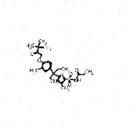 CCC(=O)NS(=O)(=O)c1sc(C(CC)(CC)c2ccc(OCC(=O)C(C)(C)C)c(C)c2)cc1C